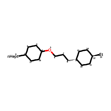 CCCCCCCC1CCC(OCCC[C@H]2CC[C@H](CC)CC2)CC1